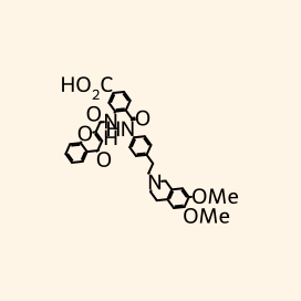 COc1cc2c(cc1OC)CN(CCc1ccc(NC(=O)c3ccc(C(=O)O)cc3NC(=O)c3cc(=O)c4ccccc4o3)cc1)CC2